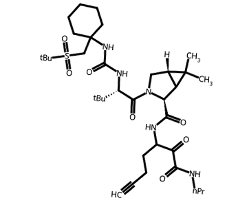 C#CCCC(NC(=O)[C@@H]1C2[C@H](CN1C(=O)[C@@H](NC(=O)NC1(CS(=O)(=O)C(C)(C)C)CCCCC1)C(C)(C)C)C2(C)C)C(=O)C(=O)NCCC